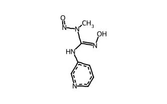 CN(N=O)C(=NO)Nc1cccnc1